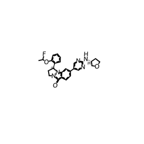 CC(F)Oc1ccccc1[C@@H]1CCn2c(=O)c3ccc(-c4cnc(N[C@@H]5CCOC5)nc4)cc3n21